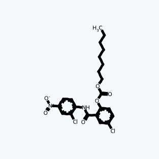 CCCCCCCCOC(=O)Oc1ccc(Cl)cc1C(=O)Nc1ccc([N+](=O)[O-])cc1Cl